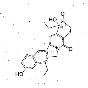 CCc1c2c(cc3ccc(O)cc13)-c1cc3c(c(=O)n1C2)CCC(=O)[C@]3(O)CC